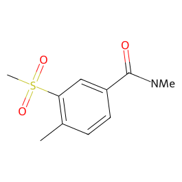 CNC(=O)c1ccc(C)c(S(C)(=O)=O)c1